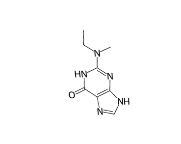 CCN(C)c1nc2[nH]cnc2c(=O)[nH]1